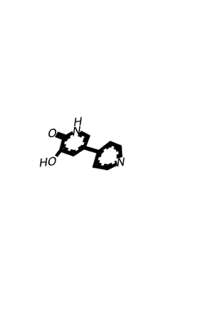 O=c1[nH]cc(-c2ccncc2)cc1O